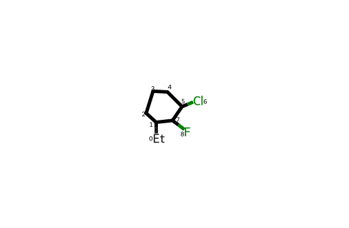 CCC1CCCC(Cl)C1F